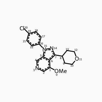 COc1cncc2c1c(C1CCOCC1)nn2-c1ccc(Cl)cc1